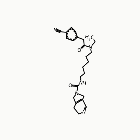 CCN(CCCCCCNC(=O)N1CC2=C(CCN=C2)C1)C(=O)Cc1ccc(C#N)cc1